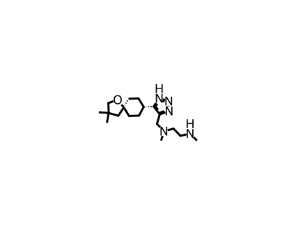 CNCCN(C)Cc1nn[nH]c1[C@H]1CC[C@]2(CC1)CC(C)(C)CO2